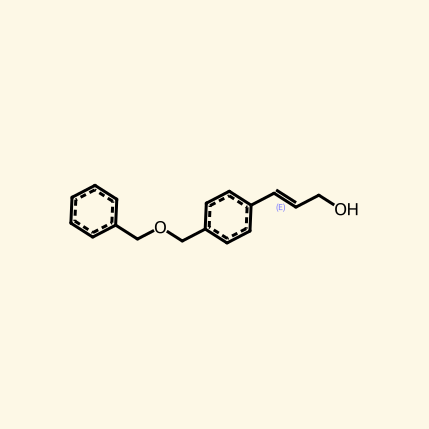 OC/C=C/c1ccc(COCc2ccccc2)cc1